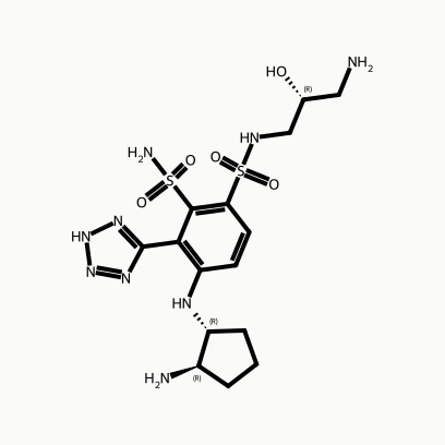 NC[C@@H](O)CNS(=O)(=O)c1ccc(N[C@@H]2CCC[C@H]2N)c(-c2nn[nH]n2)c1S(N)(=O)=O